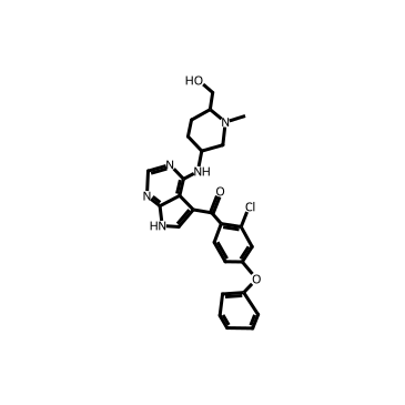 CN1CC(Nc2ncnc3[nH]cc(C(=O)c4ccc(Oc5ccccc5)cc4Cl)c23)CCC1CO